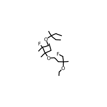 CCOC(C)(CF)CCOC(C)(CC)C(C)(F)COC(C)(CC)CC